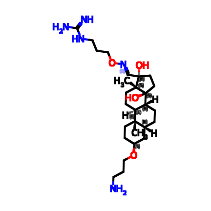 C[C@]12CC[C@H](OCCCN)C[C@H]1CC[C@@H]1[C@@H]2CC[C@]2(C)[C@@](O)(/C=N/OCCCNC(=N)N)CC[C@]12O